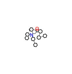 c1ccc2c(c#1)C(N(c1ccc(-c3ccccc3)cc1)c1cccc3ccccc13)Cc1c-2oc2cccc(-c3ccccc3-c3ccccc3)c12